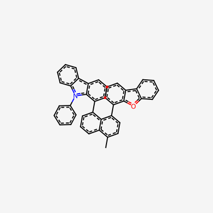 Cc1ccc(-c2cccc3c2oc2ccccc23)c2c(-c3cccc4c5ccccc5n(-c5ccccc5)c34)cccc12